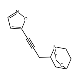 C(#Cc1ccno1)CC1CC2CCCN1CC2